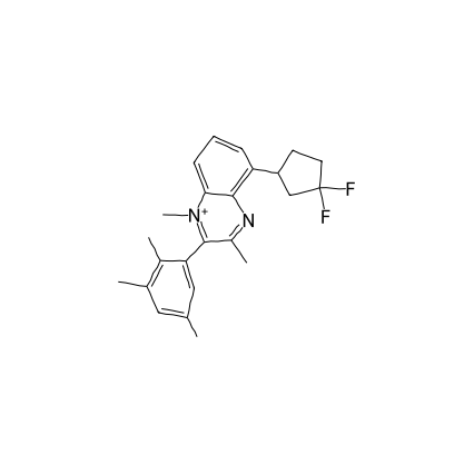 Cc1cc(C)c(C)c(-c2c(C)nc3c(C4CCC(F)(F)C4)cccc3[n+]2C)c1